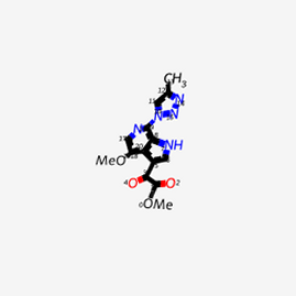 COC(=O)C(=O)c1c[nH]c2c(-n3cc(C)nn3)ncc(OC)c12